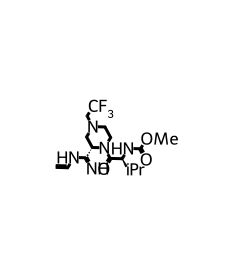 C=CNC(=N)[C@@H]1CN(CC(F)(F)F)CCN1C(=O)[C@@H](NC(=O)OC)C(C)C